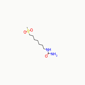 CS(=O)(=O)CCCCCCCNC(N)=O